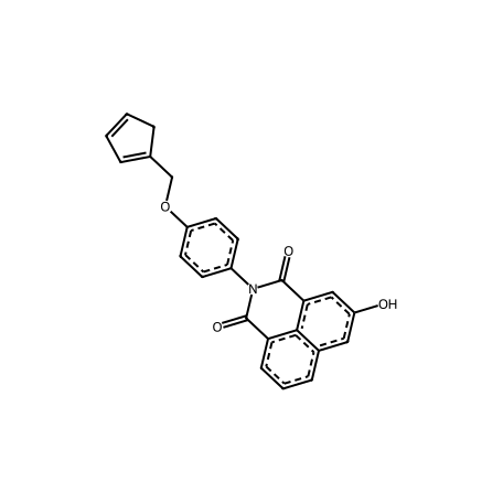 O=C1c2cccc3cc(O)cc(c23)C(=O)N1c1ccc(OCC2=CC=CC2)cc1